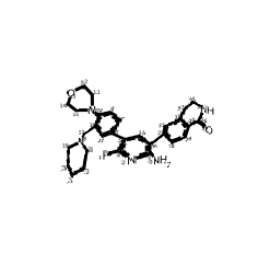 Nc1nc(F)c(-c2ccc(N3CCOCC3)c(CN3CCCCC3)c2)cc1-c1ccc2c(c1)CCNC2=O